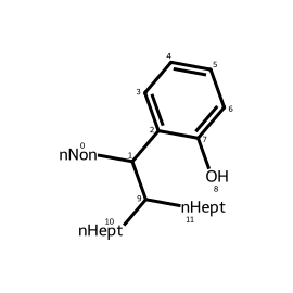 CCCCCCCCCC(c1ccccc1O)C(CCCCCCC)CCCCCCC